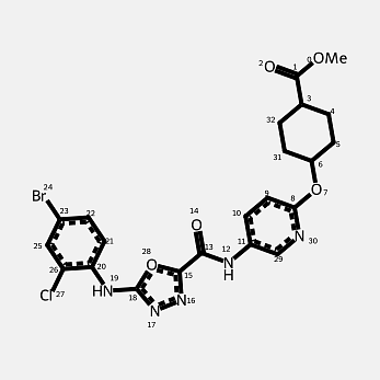 COC(=O)C1CCC(Oc2ccc(NC(=O)c3nnc(Nc4ccc(Br)cc4Cl)o3)cn2)CC1